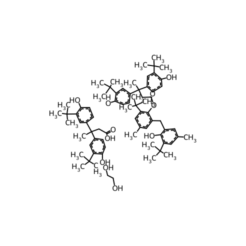 CC(C)(C)c1cc(C(C)(CC(=O)O)c2ccc(O)c(C(C)(C)C)c2)ccc1O.Cc1cc(Cc2cc(C)cc(C(C)(C)C)c2OC(=O)CC(C)(c2ccc(O)c(C(C)(C)C)c2)c2ccc(O)c(C(C)(C)C)c2)c(O)c(C(C)(C)C)c1.OCCO